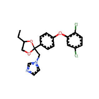 CCC1COC(Cn2ccnc2)(c2ccc(Oc3cc(Cl)ccc3Cl)cc2)O1